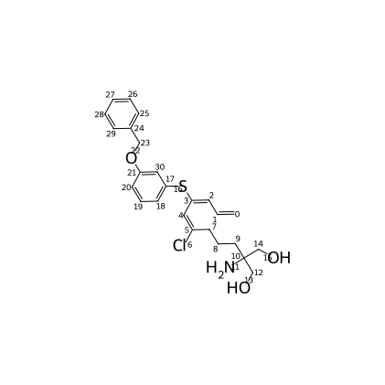 C=C/C=C(\C=C(\Cl)CCCC(N)(CO)CO)Sc1cccc(OCc2ccccc2)c1